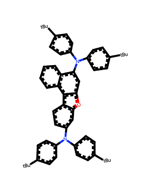 CC(C)(C)c1ccc(N(c2ccc(C(C)(C)C)cc2)c2ccc3c(c2)oc2cc(N(c4ccc(C(C)(C)C)cc4)c4ccc(C(C)(C)C)cc4)c4ccccc4c23)cc1